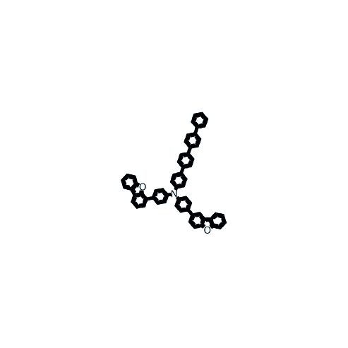 c1ccc(-c2ccc(-c3ccc(-c4ccc(N(c5ccc(-c6ccc7oc8ccccc8c7c6)cc5)c5ccc(-c6cccc7c6oc6ccccc67)cc5)cc4)cc3)cc2)cc1